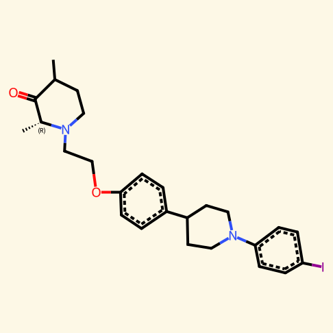 CC1CCN(CCOc2ccc(C3CCN(c4ccc(I)cc4)CC3)cc2)[C@H](C)C1=O